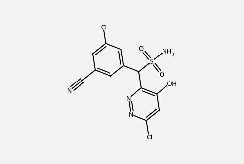 N#Cc1cc(Cl)cc(C(c2nnc(Cl)cc2O)S(N)(=O)=O)c1